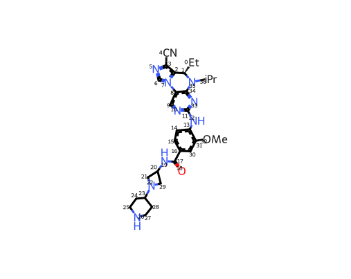 CC[C@@H]1c2c(C#N)ncn2-c2cnc(Nc3ccc(C(=O)NC4CN(C5CCNCC5)C4)cc3OC)nc2N1C(C)C